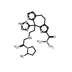 C=C(CNCCC1(c2nn[nH]n2)c2sccc2CCc2cc(C(=O)N(C)C)sc21)N1CCCC1C#N